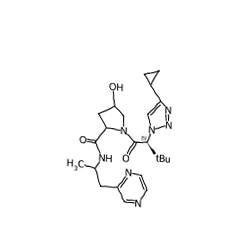 CC(Cc1cnccn1)NC(=O)C1CC(O)CN1C(=O)[C@@H](n1cc(C2CC2)nn1)C(C)(C)C